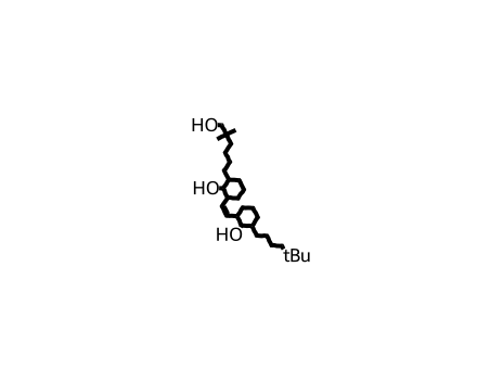 CC(C)(C)CCCCC1CCCC(/C=C\C2CCCC(CCCCC(C)(C)CO)C2O)C1O